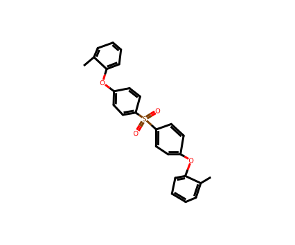 Cc1ccccc1Oc1ccc(S(=O)(=O)c2ccc(Oc3ccccc3C)cc2)cc1